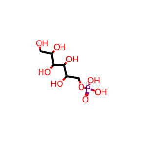 O=P(O)(O)OCC(O)C(O)C(O)C(O)CO